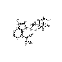 COC(=O)c1cccc2c1c(CN[C@@H]1CC3CCN1CC3)cn2C